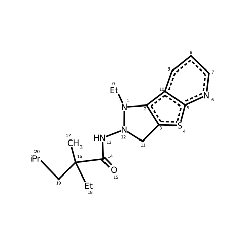 CCN1c2c(sc3ncccc23)CN1NC(=O)C(C)(CC)CC(C)C